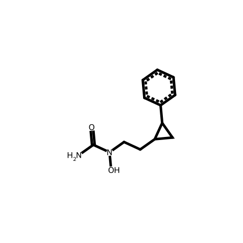 NC(=O)N(O)CCC1CC1c1ccccc1